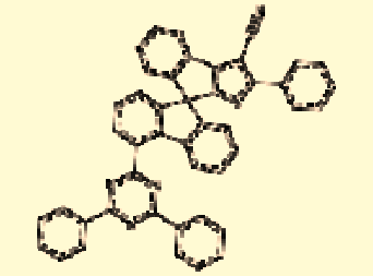 N#Cc1c(-c2ccccc2)sc2c1-c1ccccc1C21c2ccccc2-c2c(-c3nc(-c4ccccc4)nc(-c4ccccc4)n3)cccc21